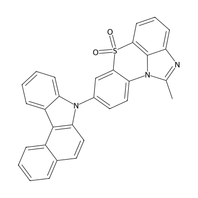 Cc1nc2cccc3c2n1-c1ccc(-n2c4ccccc4c4c5ccccc5ccc42)cc1S3(=O)=O